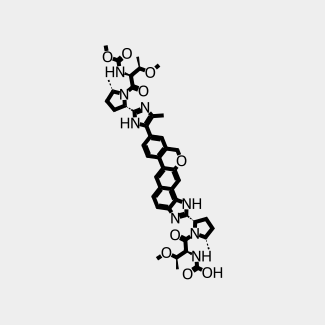 COC(=O)N[C@H](C(=O)N1[C@@H](C)CC[C@H]1c1nc(C)c(-c2ccc3c(c2)COc2cc4c(ccc5nc([C@@H]6CC[C@H](C)N6C(=O)[C@@H](NC(=O)O)[C@@H](C)OC)[nH]c54)cc2-3)[nH]1)[C@@H](C)OC